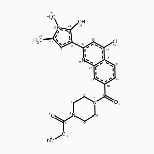 CCCOC(=O)N1CCN(C(=O)c2ccc3c(Cl)cc(-c4cc(C)n(C)c4O)nc3c2)CC1